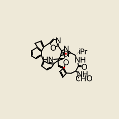 CC(C)[C@@H]1NC(=O)C(NC=O)Cc2ccc3c(c2)C24c5cccc(c5N[C@H]2O3)-c2cccc3c2C(=CC3)c2cnc(o2)-c2nc1oc24